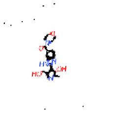 Cc1ncc(CO)c(-c2nc3ccc(C(=O)N4CCOCC4)cc3[nH]2)c1O